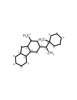 CC1CC(C(C)C2(C)CCCCC2)CC2C1CC1CCCCC12